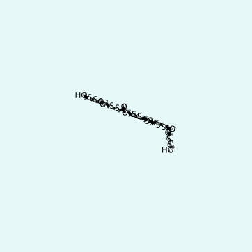 O=C(CSCSCCOOCSCSCO)OCCSCSCCOOCCSCSCC(=O)OCSCSCO